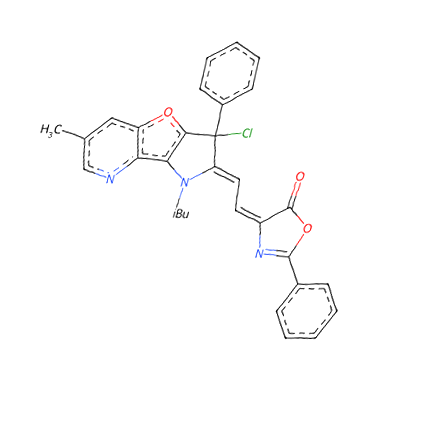 CCC(C)N1/C(=C\C=C2\N=C(c3ccccc3)OC2=O)C(Cl)(c2ccccc2)c2oc3cc(C)cnc3c21